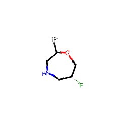 CC(C)C1CNC[C@@H](F)CO1